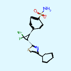 NS(=O)(=O)c1ccc([C@H]2[C@H](c3nc(C4CCCCC4)cs3)C2(F)F)cc1